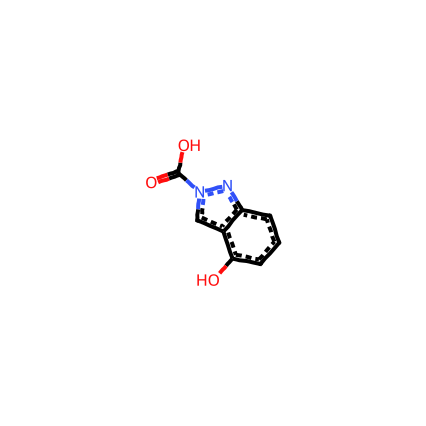 O=C(O)n1cc2c(O)cccc2n1